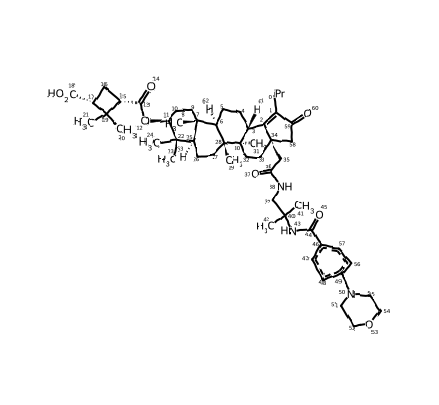 CC(C)C1=C2[C@H]3CC[C@@H]4[C@@]5(C)CC[C@H](OC(=O)[C@H]6C[C@@H](C(=O)O)C6(C)C)C(C)(C)[C@@H]5CC[C@@]4(C)[C@]3(C)CC[C@@]2(CC(=O)NCC(C)(C)NC(=O)c2ccc(N3CCOCC3)cc2)CC1=O